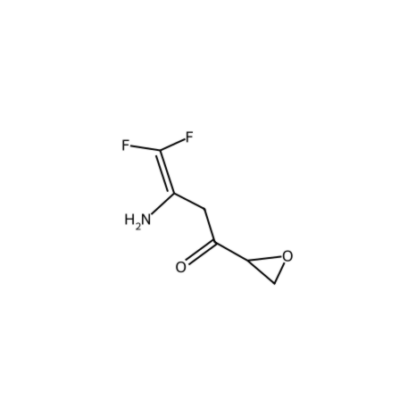 NC(CC(=O)C1CO1)=C(F)F